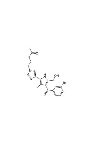 CC(=O)OCCn1nnc(-c2[nH]c(CO)c(C(=O)c3cccc(Br)c3)c2C)n1